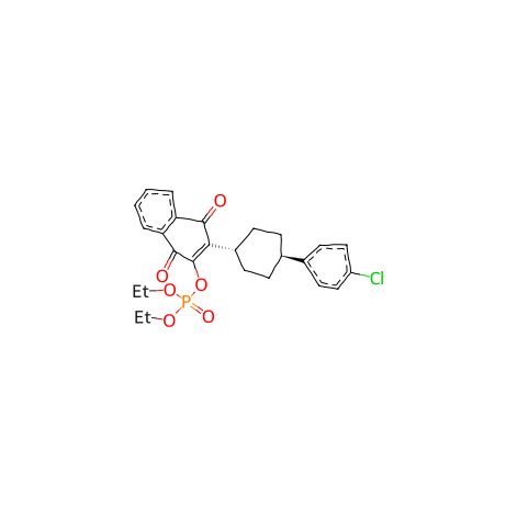 CCOP(=O)(OCC)OC1=C([C@H]2CC[C@H](c3ccc(Cl)cc3)CC2)C(=O)c2ccccc2C1=O